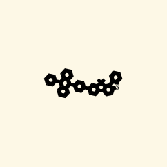 CC1(C)c2cc(-c3ccc(-c4c5ccccc5c(-c5ccccc5)c5ccccc45)cc3)ccc2-c2ccc3sc4ccccc4c3c21